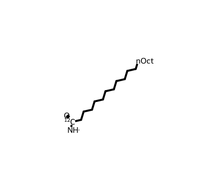 CCCCCCCCCCCCCCCCCCC[12C]([NH])=O